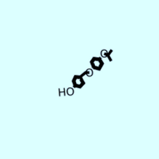 CC(C)Oc1ccc(OCc2ccc(O)cc2)cc1